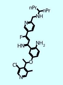 CCCC(CCC)NCc1ccc(/C(F)=C/C(=N)c2cc(OC(C)c3c(C)cncc3Cl)ccc2N)cn1